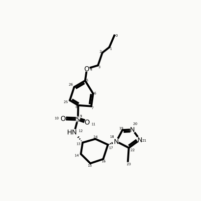 CCCCOc1ccc(S(=O)(=O)N[C@H]2CCC[C@@H](n3cnnc3C)C2)cc1